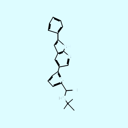 CC(C)(C)NC(O)c1cccc(-c2cnc3[nH]c(-c4ccccc4)cc3c2)n1